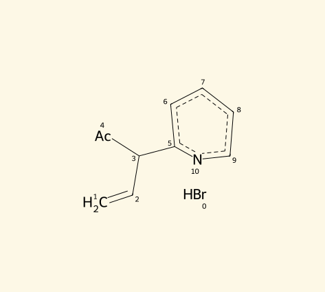 Br.C=CC(C(C)=O)c1ccccn1